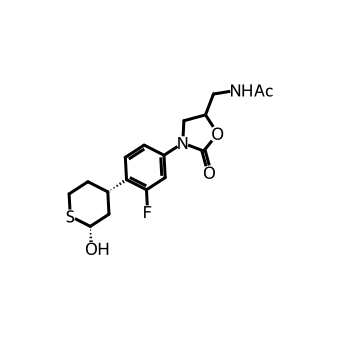 CC(=O)NCC1CN(c2ccc([C@H]3CCS[C@@H](O)C3)c(F)c2)C(=O)O1